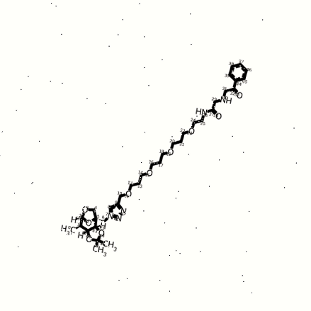 C[C@H]1[C@H]2OC[C@](Cn3cc(COCCCOCCCOCCCOCCNC(=O)CNCC(=O)c4ccccc4)nn3)(O2)[C@@H]2OC(C)(C)O[C@H]12